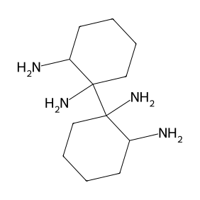 NC1CCCCC1(N)C1(N)CCCCC1N